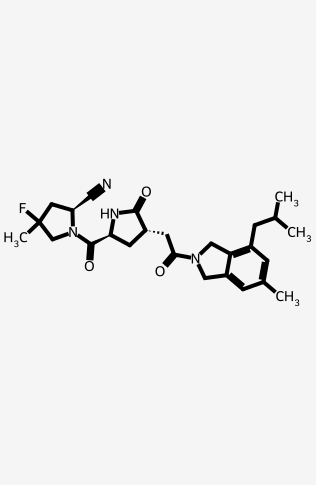 Cc1cc(CC(C)C)c2c(c1)CN(C(=O)C[C@@H]1C[C@@H](C(=O)N3CC(C)(F)C[C@H]3C#N)NC1=O)C2